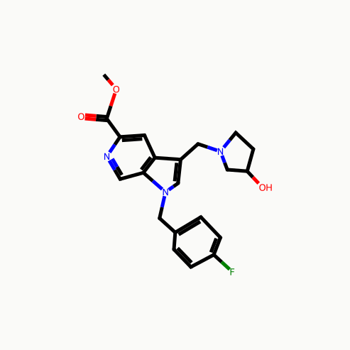 COC(=O)c1cc2c(CN3CCC(O)C3)cn(Cc3ccc(F)cc3)c2cn1